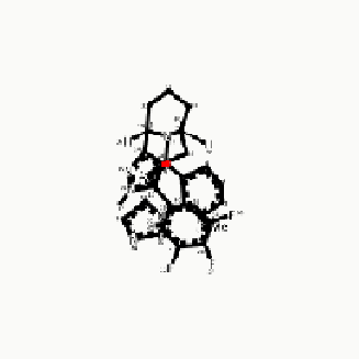 COc1cccc(C(=O)N2[C@@H]3CCC[C@H]2c2nn(C)c(-c4cc(F)c(F)c(F)c4)c2C3)c1-n1ccnn1